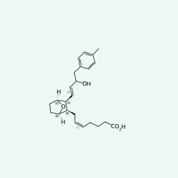 Cc1ccc(CC(O)/C=C/[C@H]2[C@@H](C/C=C\CCCC(=O)O)[C@H]3CC[C@@H]2O3)cc1